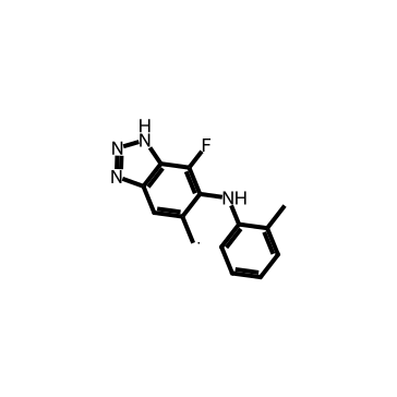 [CH2]c1cc2nn[nH]c2c(F)c1Nc1ccccc1C